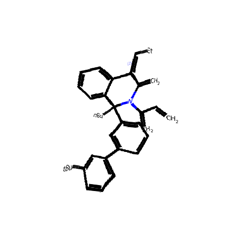 C=CC(=C)N1C(=C)/C(=C\CC)c2ccccc2C1(CCCC)c1cccc(-c2cccc(C(C)(C)C)c2)c1